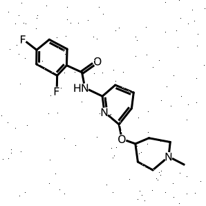 CN1CCC(Oc2cccc(NC(=O)c3ccc(F)cc3F)n2)CC1